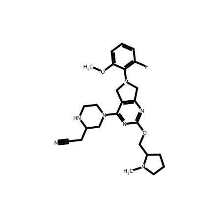 COc1cccc(F)c1N1Cc2nc(OCC3CCCN3C)nc(N3CCNC(CC#N)C3)c2C1